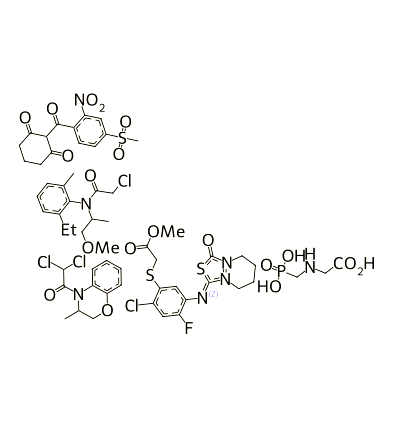 CC1COc2ccccc2N1C(=O)C(Cl)Cl.CCc1cccc(C)c1N(C(=O)CCl)C(C)COC.COC(=O)CSc1cc(/N=c2\sc(=O)n3n2CCCC3)c(F)cc1Cl.CS(=O)(=O)c1ccc(C(=O)C2C(=O)CCCC2=O)c([N+](=O)[O-])c1.O=C(O)CNCP(=O)(O)O